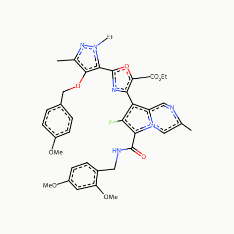 CCOC(=O)c1oc(-c2c(OCc3ccc(OC)cc3)c(C)nn2CC)nc1-c1c(F)c(C(=O)NCc2ccc(OC)cc2OC)n2cc(C)ncc12